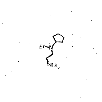 CCN(CCN)C1CCCC1